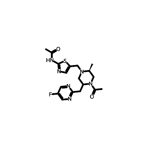 CC(=O)Nc1ncc(CN2CC(Cc3ncc(F)cn3)N(C(C)=O)C[C@@H]2C)s1